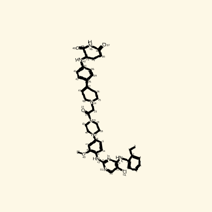 CCc1ccccc1Nc1nc(Nc2ccc(N3CCN(C(=O)CN4CCC(c5ccc(NC6CCC(=O)NC6=O)cc5)CC4)CC3)cc2OC)ncc1Cl